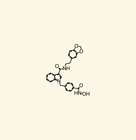 O=C(NO)c1ccc(Cn2cc(C(=O)NCCc3ccc4c(c3)OCO4)c3ccccc32)cc1